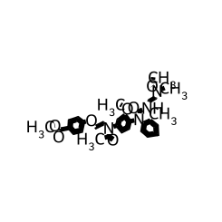 COC(=O)c1ccc(OCCN(C(C)=O)c2ccc(N(C(=O)NCCN(C)OC)c3ccccc3C)c(OC)c2)cc1